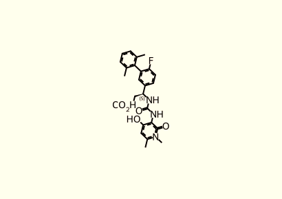 Cc1cccc(C)c1-c1cc([C@H](CC(=O)O)NC(=O)Nc2c(O)cc(C)n(C)c2=O)ccc1F